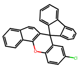 Clc1ccc2c(c1)C1(c3ccccc3-c3ccccc31)c1ccc3ccccc3c1O2